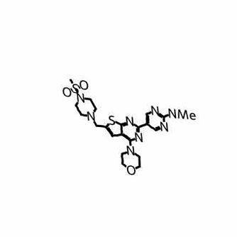 CNc1ncc(-c2nc(N3CCOCC3)c3cc(CN4CCN(S(C)(=O)=O)CC4)sc3n2)cn1